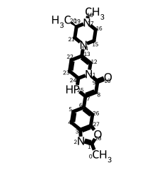 Cc1nc2ccc(C3=CC(=O)N4C=C(N5CCN(C)[C@H](C)C5)C=CC4P3)cc2o1